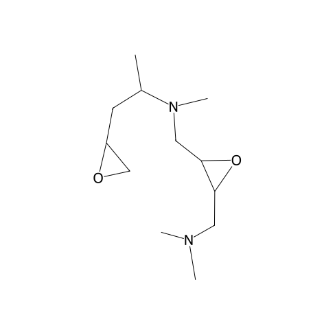 CC(CC1CO1)N(C)CC1OC1CN(C)C